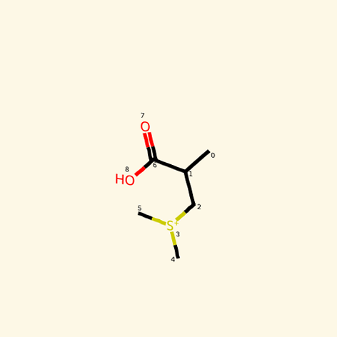 CC(C[S+](C)C)C(=O)O